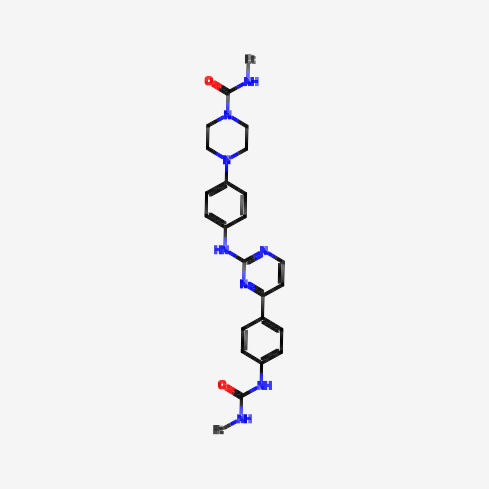 CCNC(=O)Nc1ccc(-c2ccnc(Nc3ccc(N4CCN(C(=O)NCC)CC4)cc3)n2)cc1